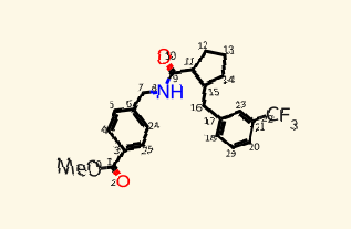 COC(=O)c1ccc(CNC(=O)C2CCCC2Cc2cccc(C(F)(F)F)c2)cc1